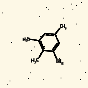 Bc1cc(C)cc(B)c1C